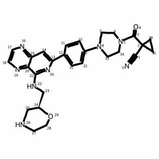 N#CC1(C(=O)N2CCN(c3ccc(-c4cc5nccnc5c(NC[C@@H]5CNCCO5)n4)cc3)CC2)CC1